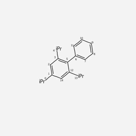 CC(C)c1cc(C(C)C)c(-c2cc[c]cc2)c(C(C)C)c1